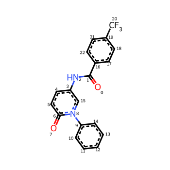 O=C(Nc1ccc(=O)n(-c2ccccc2)c1)c1ccc(C(F)(F)F)cc1